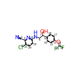 N#Cc1nc(NCC(O)c2ccc(OC(F)F)cc2)ccc1Cl